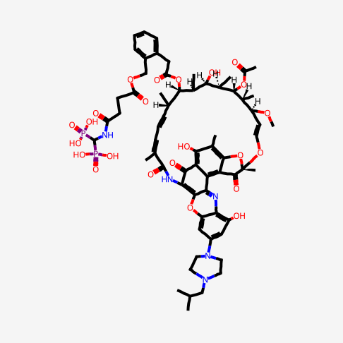 CO[C@H]1/C=C/O[C@@]2(C)Oc3c(C)c(O)c4c(=O)c(c5oc6cc(N7CCN(CC(C)C)CC7)cc(O)c6nc-5c4c3C2=O)NC(=O)/C(C)=C\C=C\[C@H](C)[C@H](OC(=O)Cc2ccccc2COC(=O)CCC(=O)NC(P(=O)(O)O)P(=O)(O)O)[C@@H](C)[C@@H](O)[C@@H](C)[C@H](OC(C)=O)[C@@H]1C